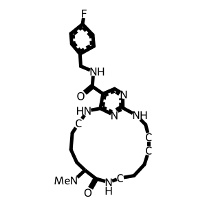 CNC1CCCCNc2nc(ncc2C(=O)NCc2ccc(F)cc2)NCCCCCCNC1=O